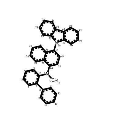 CN(c1ccccc1-c1ccccc1)c1ccc(-n2c3ccccc3c3ccccc32)c2ccccc12